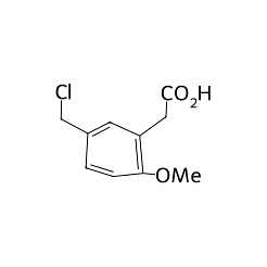 COc1ccc(CCl)cc1CC(=O)O